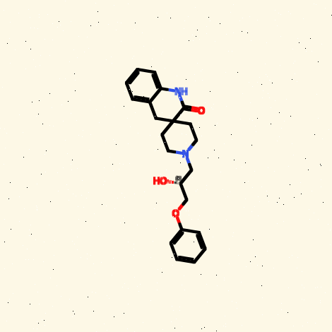 O=C1Nc2ccccc2CC12CCN(C[C@@H](O)COc1ccccc1)CC2